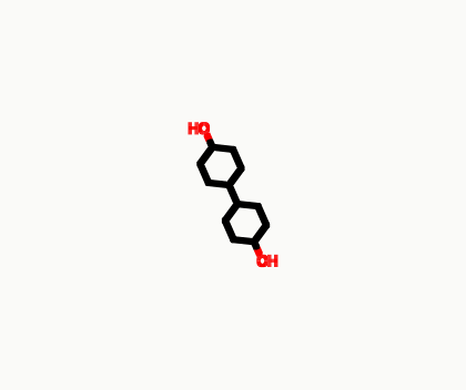 OC1CCC(C2CCC(O)CC2)CC1